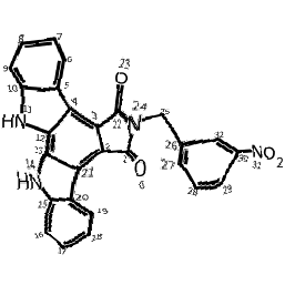 O=C1c2c(c3c4ccccc4[nH]c3c3[nH]c4ccccc4c23)C(=O)N1Cc1cccc([N+](=O)[O-])c1